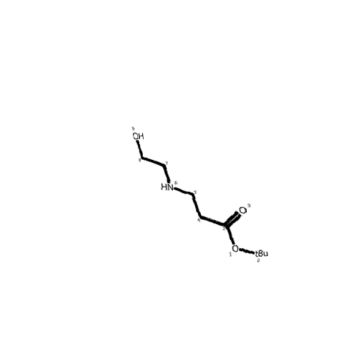 CC(C)(C)OC(=O)CCNCCO